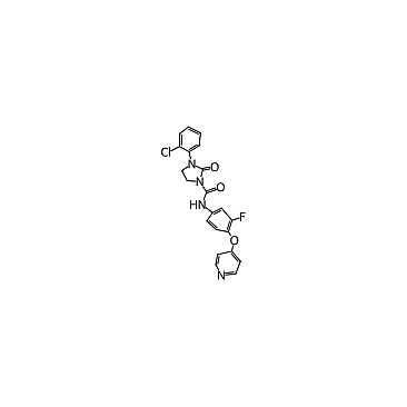 O=C(Nc1ccc(Oc2ccncc2)c(F)c1)N1CCN(c2ccccc2Cl)C1=O